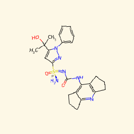 CC(C)(O)c1cc([S@@](N)(=O)=NC(=O)Nc2c3c(nc4c2CCC4)CCC3)nn1-c1ccccc1